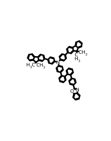 CC1(C)c2ccccc2-c2ccc(-c3ccc(N(c4ccc(-c5ccc6c(c5)C(C)(C)c5ccccc5-6)cc4)c4ccc(-c5ccccc5-c5ccccc5-c5ccc(-c6nc7ccccc7o6)cc5)cc4)cc3)cc21